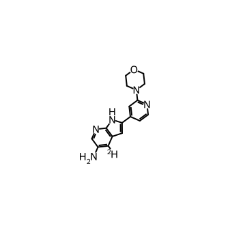 [2H]c1c(N)cnc2[nH]c(-c3ccnc(N4CCOCC4)c3)cc12